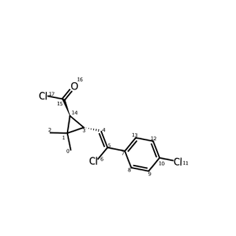 CC1(C)[C@@H](C=C(Cl)c2ccc(Cl)cc2)[C@@H]1C(=O)Cl